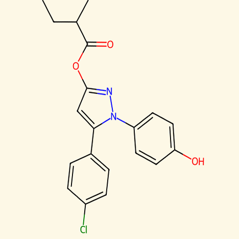 CCC(C)C(=O)Oc1cc(-c2ccc(Cl)cc2)n(-c2ccc(O)cc2)n1